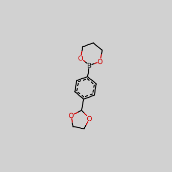 c1cc(C2OCCO2)ccc1B1OCCCO1